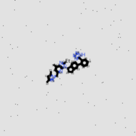 CCc1nc2c(C)cc(Cn3nc(C)cc3C)nc2n1[C@H]1CCc2cc(-c3ccccc3-c3nnn[nH]3)ccc21